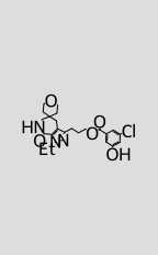 CCn1nc(CCCOC(=O)c2cc(O)cc(Cl)c2)c2c1C(=O)NCC1(CCOCC1)C2